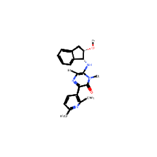 CCO[C@H]1Cc2ccccc2[C@H]1Nc1c(CC)nc(-c2ccc(OC)nc2OC)c(=O)n1CC